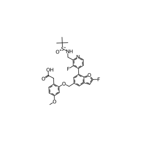 COc1ccc(CC(=O)O)c(OCc2cc(-c3ccnc(CN[S@@+]([O-])C(C)(C)C)c3F)c3oc(F)cc3c2)c1